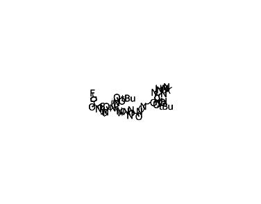 Cc1n[nH]c(Nc2ncnc3cc(OCCCN4CCN(C(=O)c5cnc(N6CCN(C[C@H]7CN(C(=O)OC(C)(C)C)[C@@H](C)CN7CC(=O)N7CCC[C@H]7c7nc(C(=O)c8ccc(F)cc8)cs7)[C@H](C)C6)nc5)CC4)c(S(=O)(=O)C(C)(C)C)cc23)c1C